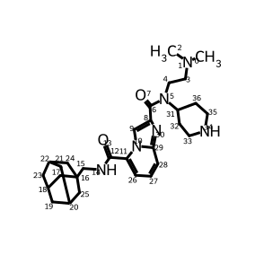 CN(C)CCN(C(=O)c1cn2c(C(=O)NCC34CC5CC(CC(C5)C3)C4)cccc2n1)C1CCNCC1